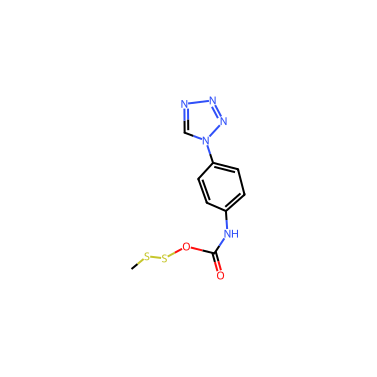 CSSOC(=O)Nc1ccc(-n2cnnn2)cc1